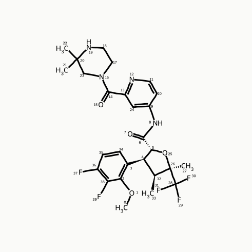 COc1c([C@H]2[C@H](C(=O)Nc3ccnc(C(=O)N4CCNC(C)(C)C4)c3)O[C@@](C)(C(F)(F)F)[C@H]2C)ccc(F)c1F